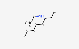 CCCCCCCC.NCC=O